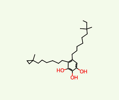 CCC(C)(C)CCCCCCc1cc(O)c(O)c(O)c1CCCCCCC1(C)CC1